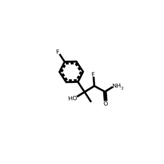 CC(O)(c1ccc(F)cc1)C(F)C(N)=O